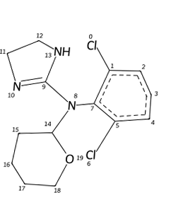 Clc1cccc(Cl)c1N(C1=NCCN1)C1CCCCO1